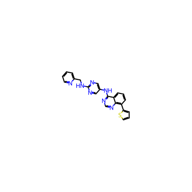 c1ccc(CNc2ncc(Nc3ncnc4c(-c5cccs5)cccc34)cn2)nc1